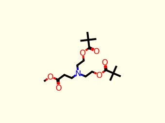 COC(=O)CCN(CCOC(=O)C(C)(C)C)CCOC(=O)C(C)(C)C